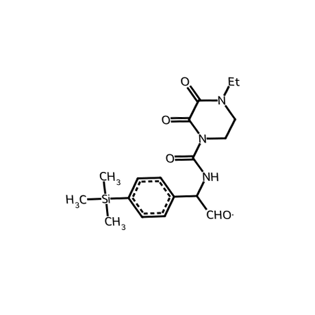 CCN1CCN(C(=O)NC([C]=O)c2ccc([Si](C)(C)C)cc2)C(=O)C1=O